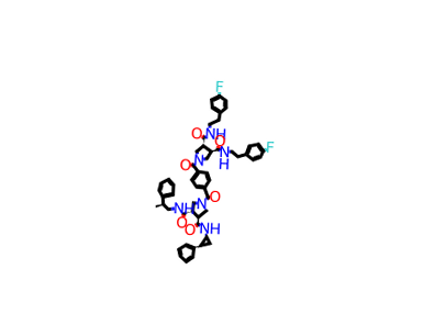 C[C@H](CNC(=O)[C@@H]1CN(C(=O)c2ccc(C(=O)N3C[C@H](C(=O)NCCc4ccc(F)cc4)[C@@H](C(=O)NCCc4ccc(F)cc4)C3)cc2)C[C@H]1C(=O)N[C@H]1C[C@@H]1c1ccccc1)c1ccccc1